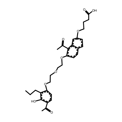 CCCc1c(OCCOCCOc2ccc3ccc(OCCCC(=O)O)cc3c2C(C)=O)ccc(C(C)=O)c1O